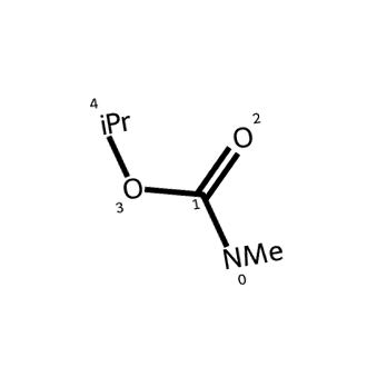 CNC(=O)OC(C)C